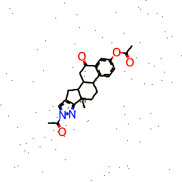 CC(=O)Oc1ccc2c(c1)C(=O)CC1C2CC[C@]2(C)c3nn(C(C)=O)cc3CC12